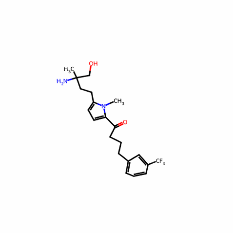 Cn1c(CCC(C)(N)CO)ccc1C(=O)CCCc1cccc(C(F)(F)F)c1